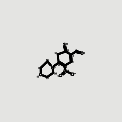 O=CC1=CC([N+](=O)[O-])=C(N2CCOCC2)CC1=S